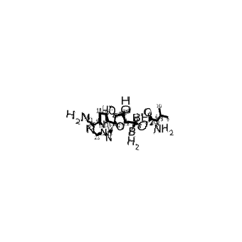 BC(B)(OC(=O)[C@@H](N)C(C)C)C1O[C@@](C#N)(c2ccc3c(N)ncnn23)[C@H](O)[C@@H]1O